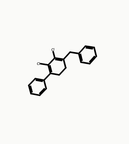 ClC1=C(Cc2ccccc2)[CH]CC(c2ccccc2)=C1Cl